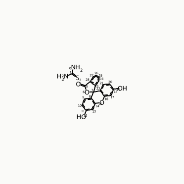 NC(N)=S.O=C1OC2(c3ccc(O)cc3Oc3cc(O)ccc32)c2ccccc21